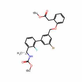 C[C@@H](NC(=O)OC(C)(C)C)c1cccc(-c2cc(Br)cc(COc3ccccc3CC(=O)OC(C)(C)C)c2)c1F